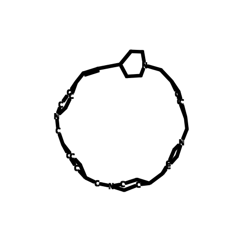 C1=C/C2CCN(CC2)CC2CCC(CC2)CN2CCC(CC2)C2CCN(CC2)CC2CCC(CC2)CN2CCC/1CC2